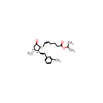 Cc1cccc(/C=C/[C@H]2[C@H](C)CC(=O)[C@@H]2C/C=C\CCCC(=O)OC(C)C)c1